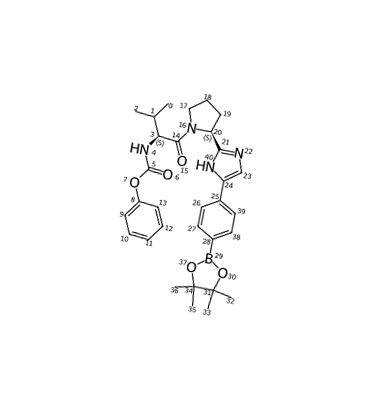 CC(C)[C@H](NC(=O)Oc1ccccc1)C(=O)N1CCC[C@H]1c1ncc(-c2ccc(B3OC(C)(C)C(C)(C)O3)cc2)[nH]1